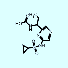 CCC(NC(=O)O)c1cncc(NS(=O)(=O)C2CC2)n1